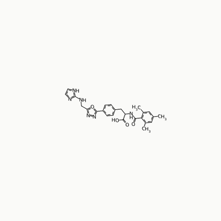 Cc1cc(C)c(C(=O)NC(Cc2ccc(-c3nnc(CNc4ncc[nH]4)o3)cc2)C(=O)O)c(C)c1